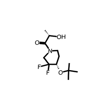 C[C@H](O)C(=O)N1CC[C@H](OC(C)(C)C)C(F)(F)C1